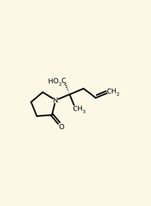 C=CC[C@](C)(C(=O)O)N1CCCC1=O